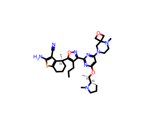 CCCc1c(-c2nc(O[C@@H](C)[C@@H]3CCCN3C)cc(N3CCN(C)C4(COC4)C3)n2)noc1[C@@]1(C)CCCc2sc(N)c(C#N)c21